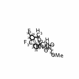 COCCN1C(=O)N[C@@]2(CC[C@@](CO[C@H](C)c3cc(CF)cc(C(F)(F)F)c3)(c3ccccc3)NC2)C1=O